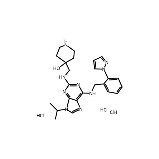 CC(C)n1cnc2c(NCc3ccccc3-n3cccn3)nc(NCC3(O)CCNCC3)nc21.Cl.Cl.Cl